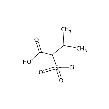 CC(C)C(C(=O)O)S(=O)(=O)Cl